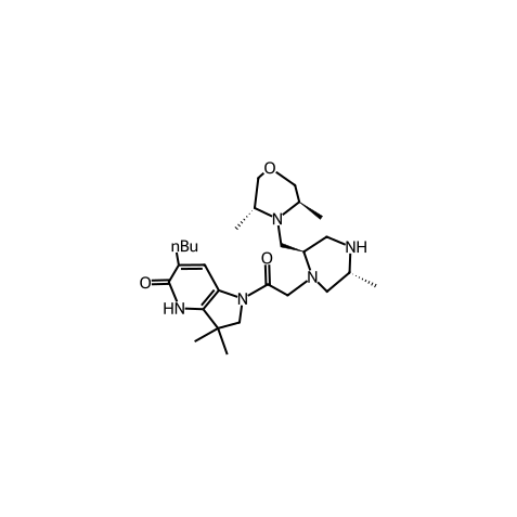 CCCCc1cc2c([nH]c1=O)C(C)(C)CN2C(=O)CN1C[C@@H](C)NC[C@@H]1CN1[C@H](C)COC[C@H]1C